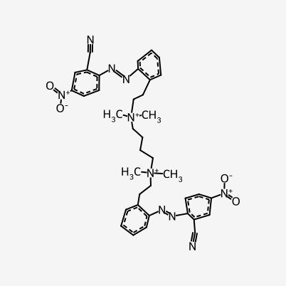 C[N+](C)(CCCC[N+](C)(C)CCc1ccccc1N=Nc1ccc([N+](=O)[O-])cc1C#N)CCc1ccccc1N=Nc1ccc([N+](=O)[O-])cc1C#N